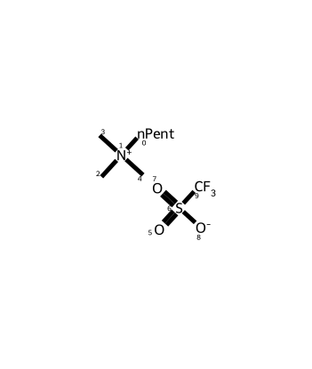 CCCCC[N+](C)(C)C.O=S(=O)([O-])C(F)(F)F